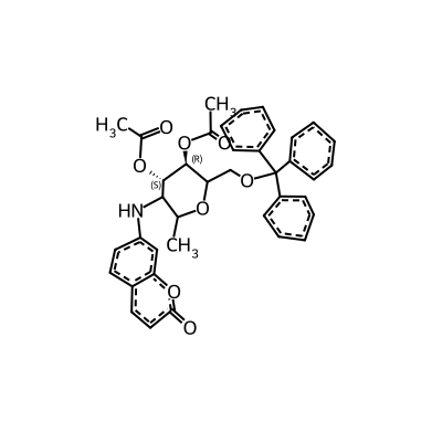 CC(=O)O[C@H]1C(COC(c2ccccc2)(c2ccccc2)c2ccccc2)OC(C)C(Nc2ccc3ccc(=O)oc3c2)[C@@H]1OC(C)=O